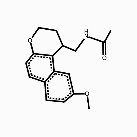 COc1ccc2ccc3c(c2c1)C(CNC(C)=O)CCO3